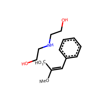 COC(=Cc1ccccc1)C(=O)O.OCCNCCO